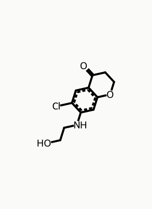 O=C1CCOc2cc(NCCO)c(Cl)cc21